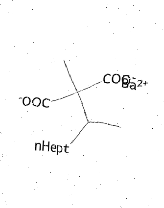 CCCCCCCC(C)C(C)(C(=O)[O-])C(=O)[O-].[Ba+2]